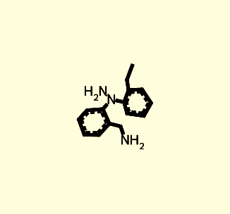 CCc1ccccc1N(N)c1ccccc1CN